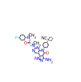 CN(C[C@H]1CN(C)c2ccc(F)cc2O1)c1ncc2c3[nH]nc(N)c3c(=O)n(-c3ccc(C4(C#N)CCC4)cc3)c2n1